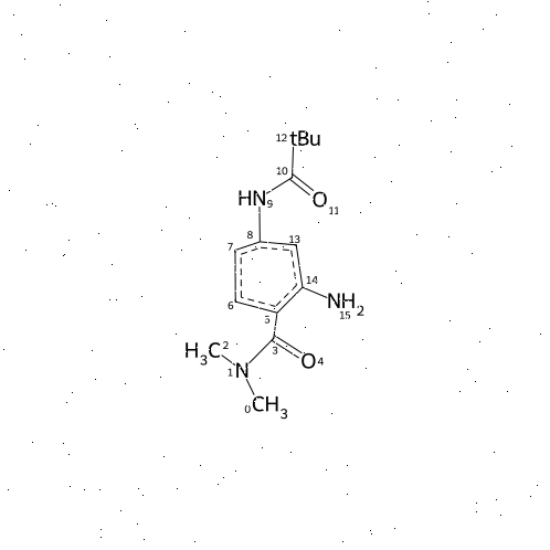 CN(C)C(=O)c1ccc(NC(=O)C(C)(C)C)cc1N